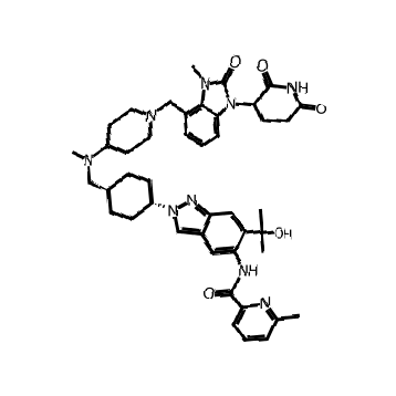 Cc1cccc(C(=O)Nc2cc3cn([C@H]4CC[C@H](CN(C)C5CCN(Cc6cccc7c6n(C)c(=O)n7C6CCC(=O)NC6=O)CC5)CC4)nc3cc2C(C)(C)O)n1